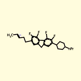 C/C=C/CCc1cc2c(c(F)c1F)-c1c(cc(C3CCC(CCC)CC3)c(F)c1F)C2